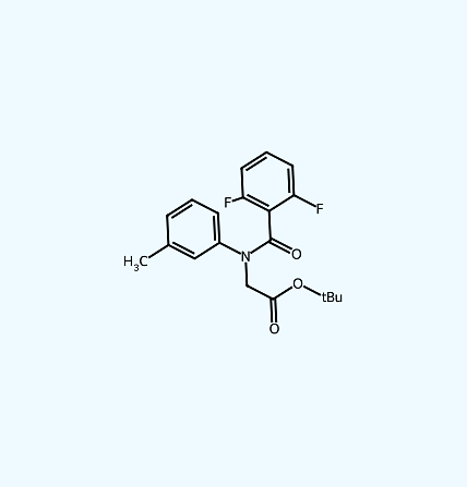 Cc1cccc(N(CC(=O)OC(C)(C)C)C(=O)c2c(F)cccc2F)c1